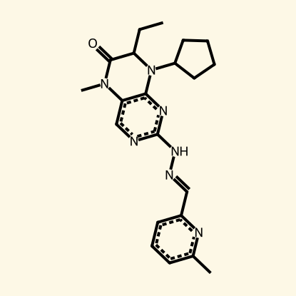 CCC1C(=O)N(C)c2cnc(N/N=C/c3cccc(C)n3)nc2N1C1CCCC1